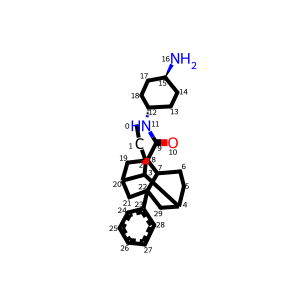 CCCC1C2CCC3C(C(=O)N[C@H]4CC[C@H](N)CC4)CC1CC3(c1ccccc1)C2